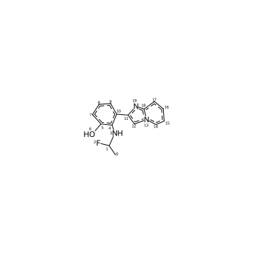 CC(F)Nc1c(O)cccc1-c1cn2ccccc2n1